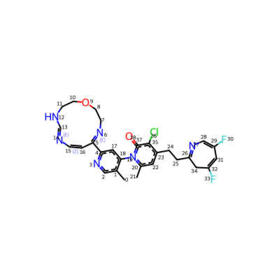 Cc1cnc(C2=N/CCOCCN/C=N/C=C\2)cc1-n1c(C)cc(CCC2=NC=C(F)C=C(F)C2)c(Cl)c1=O